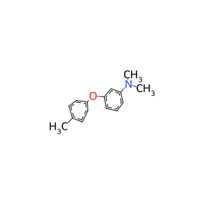 Cc1ccc(Oc2cccc(N(C)C)c2)cc1